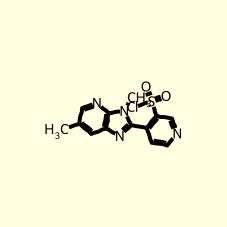 Cc1cnc2c(c1)nc(-c1ccncc1S(=O)(=O)Cl)n2C